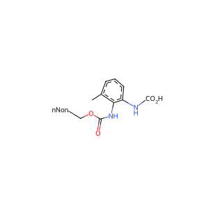 CCCCCCCCCCOC(=O)Nc1c(C)cccc1NC(=O)O